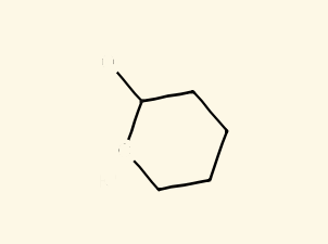 [K+].[O-]C1CCCCO1